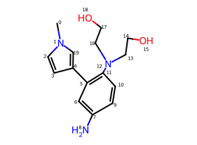 Cn1ccc(-c2cc(N)ccc2N(CCO)CCO)c1